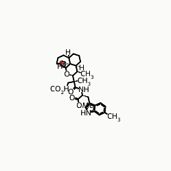 COC(=O)[C@H](Cc1c[nH]c2cc(C)ccc12)NC(=O)[C@](C)(CC(=O)O)[C@H]1O[C@@H]2OC3CC[C@@H]4CCC[C@@H]([C@H]1C)[C@]42OO3